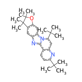 CC(C)(C)c1ccc2c(cc(C(C)(C)C)n3c4cc5c(cc4nc23)C(C)(C)C(C)(C)O5)n1